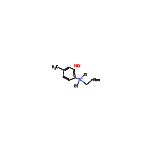 CCCCCCCCCC[N+](CC)(CC)c1ccc(C)cc1.[OH-]